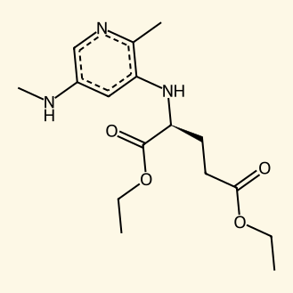 CCOC(=O)CC[C@H](Nc1cc(NC)cnc1C)C(=O)OCC